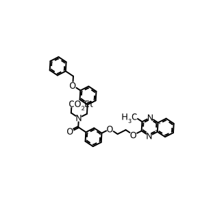 CCOC(=O)CN(Cc1cccc(OCc2ccccc2)c1)C(=O)c1cccc(OCCOc2nc3ccccc3nc2C)c1